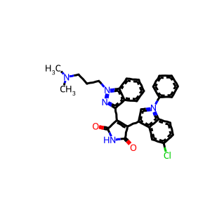 CN(C)CCCn1nc(C2=C(c3cn(-c4ccccc4)c4ccc(Cl)cc34)C(=O)NC2=O)c2ccccc21